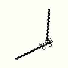 CCCCCCCC/C=C/CCCCCCCC(=O)NCC(OC(=O)CCCCCCC/C=C/CCCCCCCC)C(=O)OC